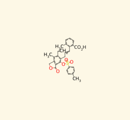 C=Cc1c(C)c2c(c(OS(=O)(=O)c3ccc(C)cc3)c1CC=Cc1c(C)cccc1C(=O)O)C(=O)OC2